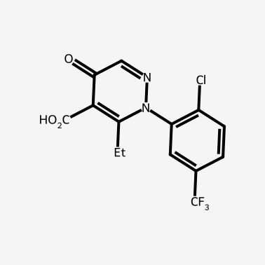 CCc1c(C(=O)O)c(=O)cnn1-c1cc(C(F)(F)F)ccc1Cl